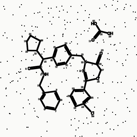 O=C(NCc1ccccc1)C(c1ccc(CN2N=C(c3cccc(Cl)c3)OCC2=O)cc1)C1CCCC1.O=C(O)O